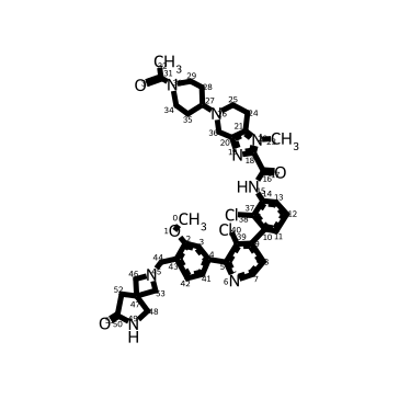 COc1cc(-c2nccc(-c3cccc(NC(=O)c4nc5c(n4C)CCN(C4CCN(C(C)=O)CC4)C5)c3Cl)c2Cl)ccc1CN1CC2(CNC(=O)C2)C1